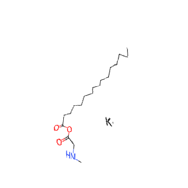 CCCCCCCCCCCCCCCC(=O)OC(=O)CNC.[K]